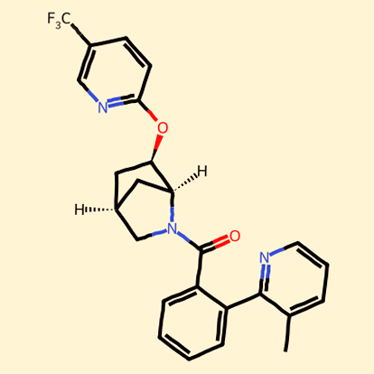 Cc1cccnc1-c1ccccc1C(=O)N1C[C@H]2C[C@@H](Oc3ccc(C(F)(F)F)cn3)[C@@H]1C2